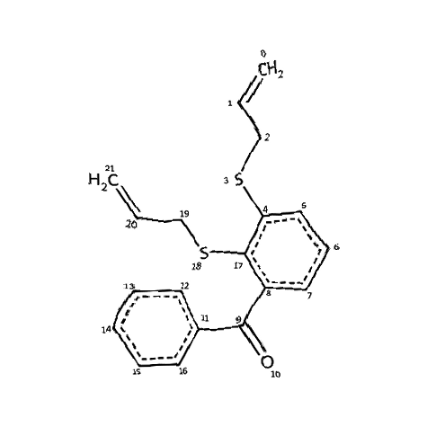 C=CCSc1cccc(C(=O)c2ccccc2)c1SCC=C